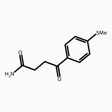 CSc1ccc(C(=O)CCC(N)=O)cc1